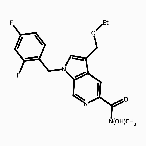 CCOCc1cn(Cc2ccc(F)cc2F)c2cnc(C(=O)N(C)O)cc12